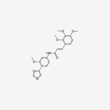 COc1cc(NC(=O)/C=C/c2ccc(OC)c(OC)c2OC)ccc1-c1cnco1